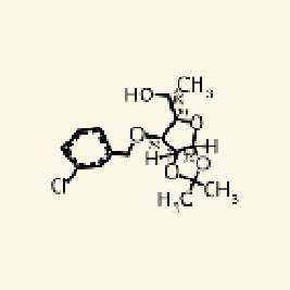 C[C@@H](O)[C@H]1O[C@@H]2OC(C)(C)O[C@@H]2[C@H]1OCc1cccc(Cl)c1